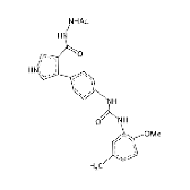 COc1ccc(C)cc1NC(=O)Nc1ccc(-c2c[nH]cc2C(=O)NNC(C)=O)cc1